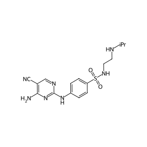 CC(C)NCCNS(=O)(=O)c1ccc(Nc2ncc(C#N)c(N)n2)cc1